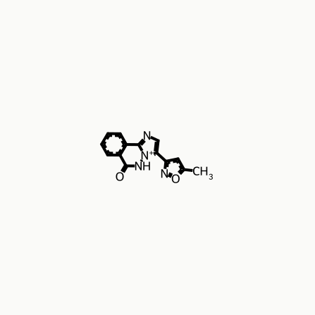 Cc1cc(C2=CN=C3c4ccccc4C(=O)N[N+]23)no1